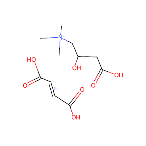 C[N+](C)(C)CC(O)CC(=O)O.O=C(O)/C=C/C(=O)O